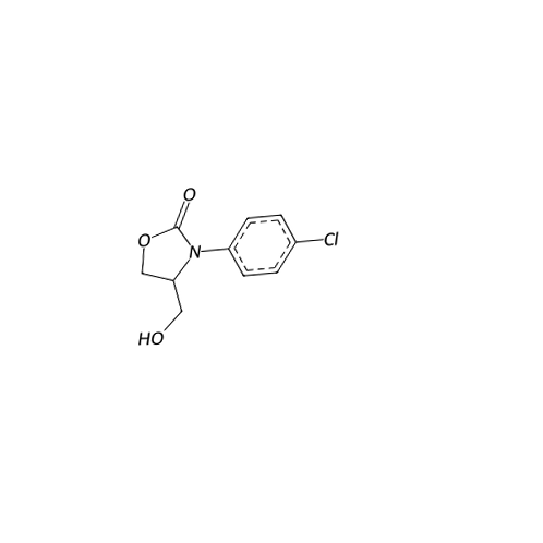 O=C1OCC(CO)N1c1ccc(Cl)cc1